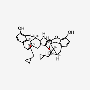 Oc1ccc2c3c1O[C@@H]1C[C@@](O)(Cc4c1[nH]c1c4C[C@@]4(O)C5Cc6ccc(O)c7c6[C@@]4(CCN5CC4CC4)[C@H]1O7)[C@@H](C2)N(CC1CC1)CCC3